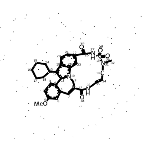 COc1ccc2c(c1)C=C1Cn3c-2c(C2CCCCC2)c2ccc(cc23)C(=O)NS(=O)(=O)N(C)C/C=C/NC1=O